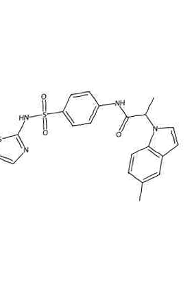 Cc1ccc2c(ccn2C(C)C(=O)Nc2ccc(S(=O)(=O)Nc3nccs3)cc2)c1